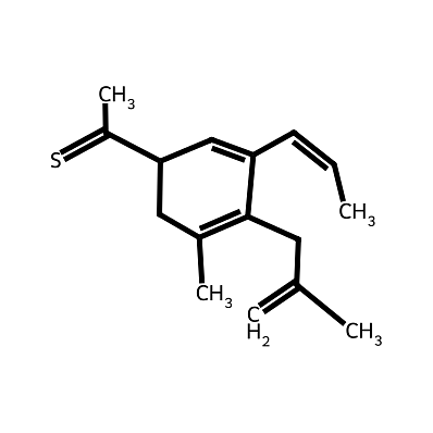 C=C(C)CC1=C(C)CC(C(C)=S)C=C1/C=C\C